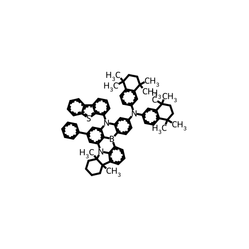 CC1(C)CCC(C)(C)c2cc(N(c3ccc4c(c3)N(c3cccc5c3sc3ccccc35)c3cc(-c5ccccc5)cc5c3B4c3cccc4c3N5C3(C)CCCCC43C)c3ccc4c(c3)C(C)(C)CCC4(C)C)ccc21